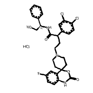 Cl.O=C1Nc2ccc(F)cc2C2(CCN(CCC(C(=O)N[C@@H](CO)c3ccccc3)c3ccc(Cl)c(Cl)c3)CC2)O1